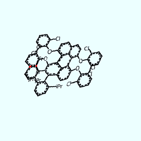 CC(C)c1cccc(C(C)C)c1-c1c(-c2c(C(C)C)cccc2C(C)C)c2ccc(Oc3c(Cl)cccc3Cl)c3c4c(Oc5c(Cl)cccc5Cl)ccc5ccc(Oc6c(Cl)cccc6Cl)c(c(c1Oc1c(Cl)cccc1Cl)c23)c54